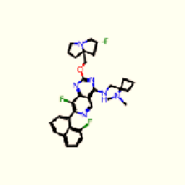 CN(C)C1(CNc2nc(OC[C@@]34CCCN3C[C@H](F)C4)nc3c(F)c(-c4cccc5cccc(F)c45)ncc23)CCC1